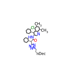 CCCCCCCCCCCCn1nnc(C(C(=O)Nc2cnc3c(C)cc(C)cc3c2-c2ccccc2Cl)c2ccccc2)n1